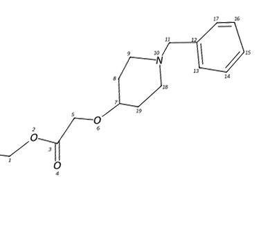 CCOC(=O)COC1CCN(Cc2ccccc2)CC1